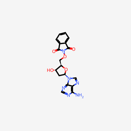 Nc1ncnc2c1ncn2[C@H]1C[C@H](O)[C@@H](CON2C(=O)c3ccccc3C2=O)O1